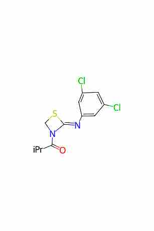 CC(C)C(=O)N1CSC1=Nc1cc(Cl)cc(Cl)c1